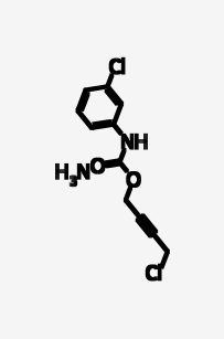 N.O=C(Nc1cccc(Cl)c1)OCC#CCCl